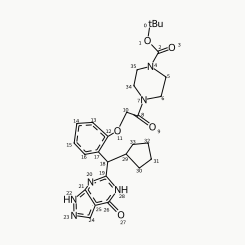 CC(C)(C)OC(=O)N1CCN(C(=O)COc2ccccc2C(c2nc3[nH]ncc3c(=O)[nH]2)C2CCCC2)CC1